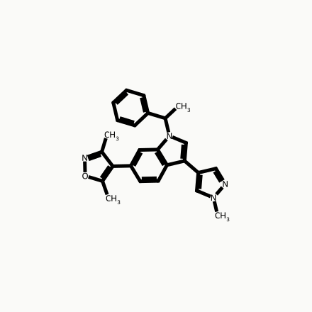 Cc1noc(C)c1-c1ccc2c(-c3cnn(C)c3)cn(C(C)c3ccccc3)c2c1